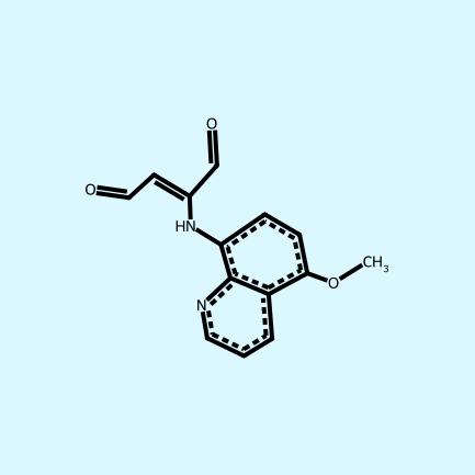 COc1ccc(N/C(C=O)=C\C=O)c2ncccc12